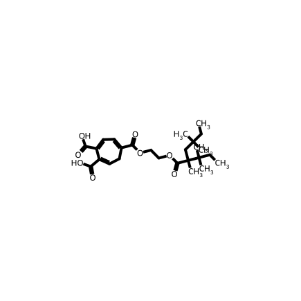 CCC(C)(C)CC(C)(C(=O)OCCOC(=O)C1=CC=C(C(=O)O)C(C(=O)O)=CC1)C(C)(C)CC